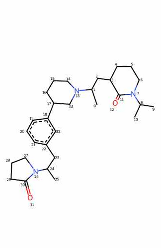 CC(CC1CCCN(C(C)C)C1=O)N1CCCC(c2cccc(CC(C)N3CCCC3=O)c2)C1